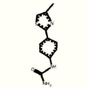 Cc1csc(-c2ccc(NC(N)=O)cc2)n1